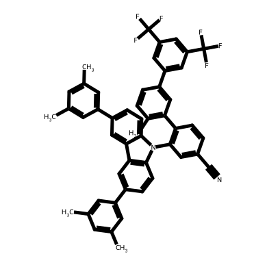 Cc1cc(C)cc(-c2ccc3c(c2)c2cc(-c4cc(C)cc(C)c4)ccc2n3-c2cc(C#N)ccc2-c2cc(-c3cc(C(F)(F)F)cc(C(F)(F)F)c3)ccc2N)c1